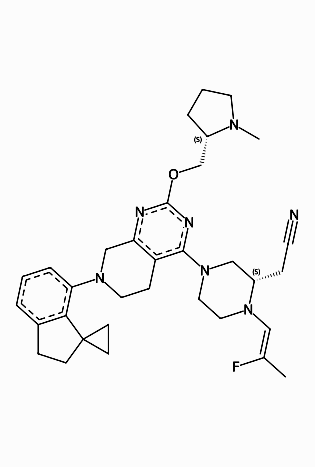 CC(F)=CN1CCN(c2nc(OC[C@@H]3CCCN3C)nc3c2CCN(c2cccc4c2C2(CC4)CC2)C3)C[C@@H]1CC#N